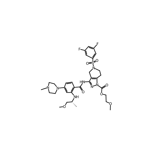 COCCOC(=O)n1nc(NC(=O)c2ccc(N3CCN(C)CC3)cc2N[C@H](C)COC)c2c1CCN(S(=O)(=O)c1cc(F)cc(F)c1)C2